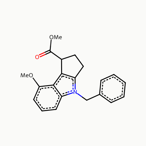 COC(=O)C1CCc2c1c1c(OC)cccc1n2Cc1ccccc1